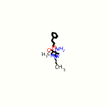 CCCCCn1ncc2c(N)c(C(=O)OCC=Cc3ccccc3)c(C)nc21